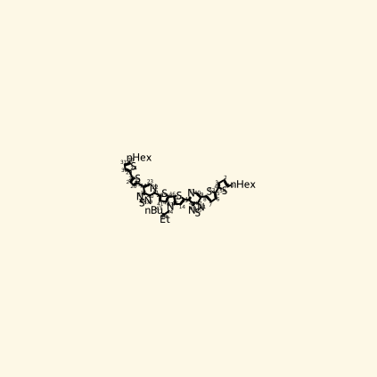 CCCCCCc1ccc(-c2ccc(-c3cnc(-c4cc5c(s4)c4sc(-c6ncc(-c7ccc(-c8ccc(CCCCCC)s8)s7)c7nsnc67)cc4n5CC(CC)CCCC)c4nsnc34)s2)s1